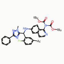 CC(=O)c1ccc(F)c(C(Nc2ccc3c(N(C(=O)OC(C)(C)C)C(=O)OC(C)(C)C)nccc3c2)c2nc(-c3ccccc3)nn2C)c1